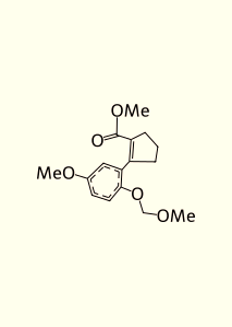 COCOc1ccc(OC)cc1C1=C(C(=O)OC)CCC1